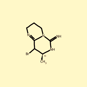 C[C@@H]1NC(=N)N2CCCN=C2C1Br